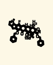 CN1CCC2Cc3c(OCc4ccccc4)c4c(c(F)c3C21)C[C@H]1C[C@H]2[C@H](N)c3onc(OCc5ccccc5)c3C(=O)C2(O[Si](C)(C)C(C)(C)C)C(O)=C1C4=O